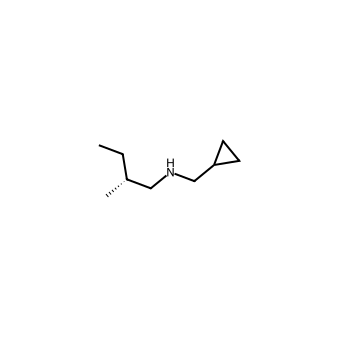 CC[C@@H](C)CNCC1CC1